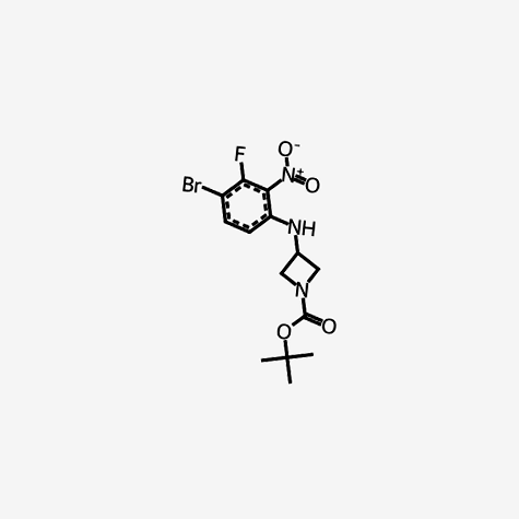 CC(C)(C)OC(=O)N1CC(Nc2ccc(Br)c(F)c2[N+](=O)[O-])C1